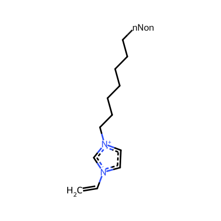 C=Cn1cc[n+](CCCCCCCCCCCCCCCC)c1